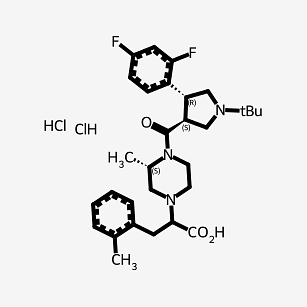 Cc1ccccc1CC(C(=O)O)N1CCN(C(=O)[C@@H]2CN(C(C)(C)C)C[C@H]2c2ccc(F)cc2F)[C@@H](C)C1.Cl.Cl